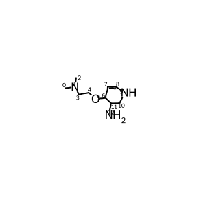 CN(C)CCOC1C=CNCC1N